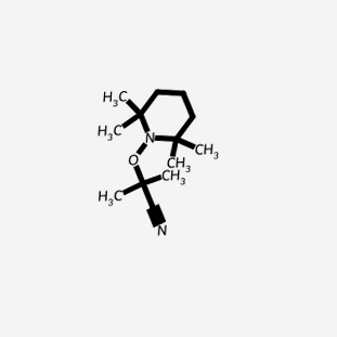 CC(C)(C#N)ON1C(C)(C)CCCC1(C)C